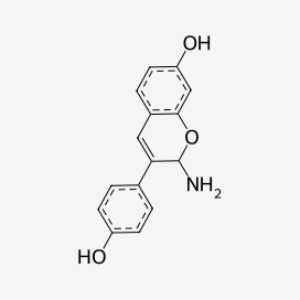 NC1Oc2cc(O)ccc2C=C1c1ccc(O)cc1